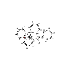 CC[C@@]1(c2ccccn2)C=CC=CC1[Si](C)(c1ccccc1)c1ccccc1